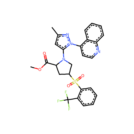 COC(=O)C1CC(S(=O)(=O)c2ccccc2C(F)(F)F)CN1c1cc(C)nn1-c1ccnc2ccccc12